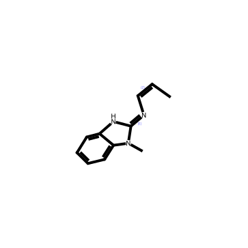 C/C=C\N=c1/[nH]c2ccccc2n1C